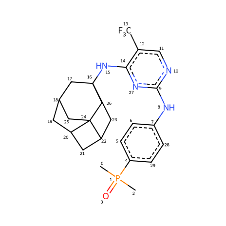 CP(C)(=O)c1ccc(Nc2ncc(C(F)(F)F)c(NC34CC5CC6CC(C3)C6(C5)C4)n2)cc1